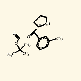 CC(C)(C)OC=O.Cc1cccc(C(=O)[C@@H]2CCCN2)c1